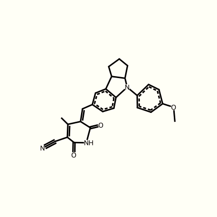 COc1ccc(N2c3ccc(/C=C4\C(=O)NC(=O)C(C#N)=C4C)cc3C3CCCC32)cc1